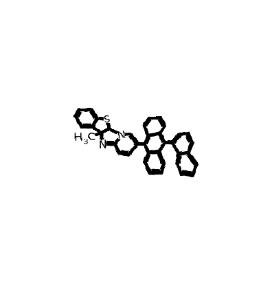 CC12N=C3C=CC(c4c5ccccc5c(-c5cccc6ccccc56)c5ccccc45)=CN3C1Sc1ccccc12